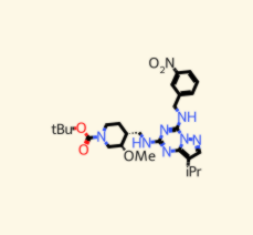 CO[C@H]1CN(C(=O)OC(C)(C)C)CC[C@@H]1CNc1nc(NCc2cccc([N+](=O)[O-])c2)n2ncc(C(C)C)c2n1